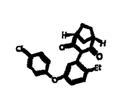 CCc1ccc(Oc2ccc(Cl)cc2)cc1C1C(=O)[C@@H]2CC[C@@H](C2)C1=O